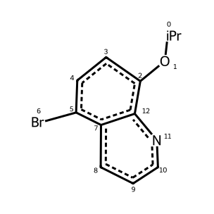 CC(C)Oc1ccc(Br)c2cccnc12